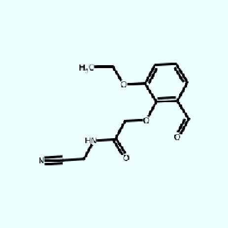 CCOc1cccc(C=O)c1OCC(=O)NCC#N